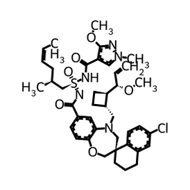 C=C[C@H](OC)[C@@H]1CC[C@H]1CN1C[C@@]2(CCCc3cc(Cl)ccc32)COc2ccc(C(=O)N=[S@@](=O)(C[C@@H](C)C/C=C\C)NC(=O)c3cn(C)nc3OC)cc21